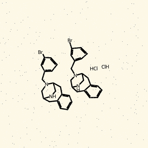 Brc1cccc(CN2CC3Cc4ccccc4CC2CN3)c1.Brc1cccc(CN2CC3Cc4ccccc4CC2CN3)c1.Cl.Cl